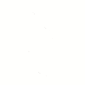 CCCCOc1cc(OCCN(CC)CC)c(N)c2c1-c1c(OCCN(CC)CC)cccc1C2=O